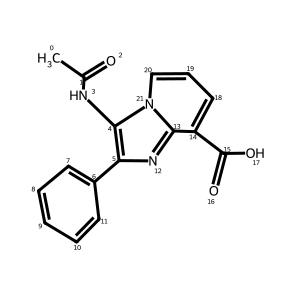 CC(=O)Nc1c(-c2ccccc2)nc2c(C(=O)O)cccn12